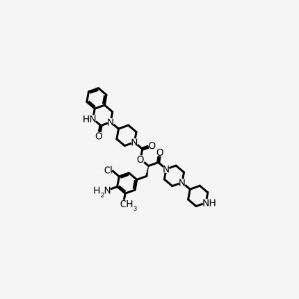 Cc1cc(C[C@@H](OC(=O)N2CCC(N3Cc4ccccc4NC3=O)CC2)C(=O)N2CCN(C3CCNCC3)CC2)cc(Cl)c1N